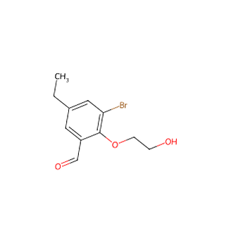 CCc1cc(Br)c(OCCO)c(C=O)c1